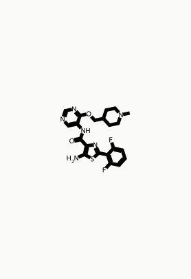 CN1CCC(COc2ncncc2NC(=O)c2nc(-c3c(F)cccc3F)sc2N)CC1